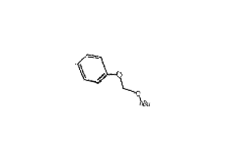 CCCCOCOc1cc[c]cc1